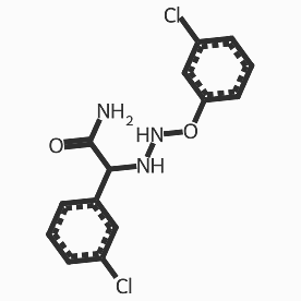 NC(=O)C(NNOc1cccc(Cl)c1)c1cccc(Cl)c1